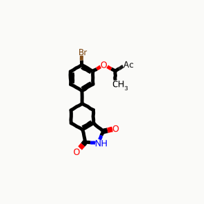 CC(=O)C(C)Oc1cc(C2CCC3=C(C2)C(=O)NC3=O)ccc1Br